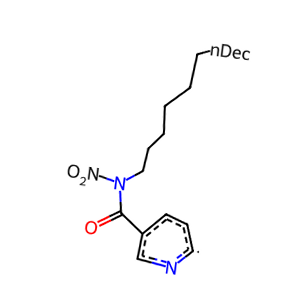 CCCCCCCCCCCCCCCCN(C(=O)c1cc[c]nc1)[N+](=O)[O-]